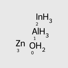 O.[AlH3].[InH3].[Zn]